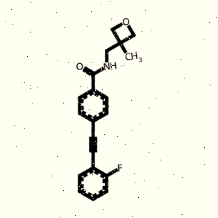 CC1(CNC(=O)c2ccc(C#Cc3ccccc3F)cc2)COC1